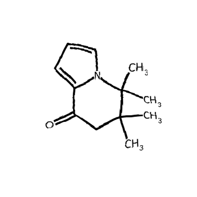 CC1(C)CC(=O)c2cccn2C1(C)C